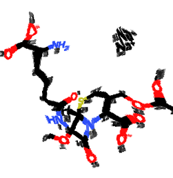 CO[C@@]1(NC(=O)CCCC(N)C(=O)[O-])C(=O)N2C(C(=O)[O-])=C(COC(C)=O)CS[C@H]21.[Na+].[Na+]